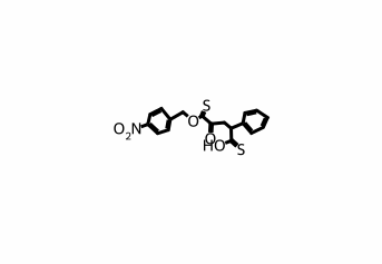 O=C(CC(C(O)=S)c1ccccc1)C(=S)OCc1ccc([N+](=O)[O-])cc1